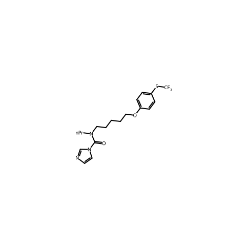 CCCN(CCCCCOc1ccc(SC(F)(F)F)cc1)C(=O)n1ccnc1